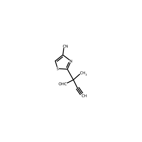 C#CC(C)(C=O)c1nc(C#N)cs1